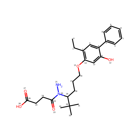 CCc1cc(-c2ccccc2)c(O)cc1OCCCC(N(N)C(=O)CCC(=O)O)C(C)(C)C